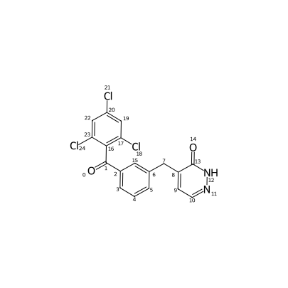 O=C(c1cccc(Cc2ccn[nH]c2=O)c1)c1c(Cl)cc(Cl)cc1Cl